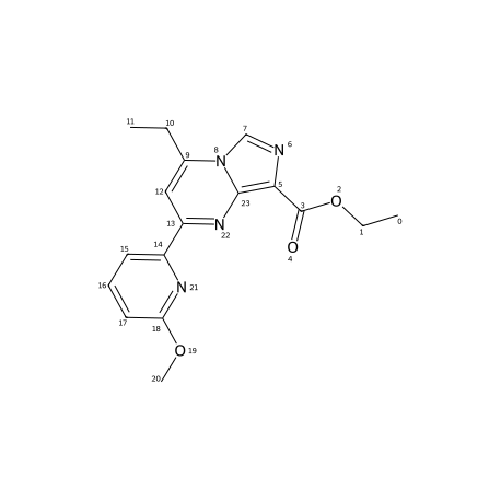 CCOC(=O)c1ncn2c(CC)cc(-c3cccc(OC)n3)nc12